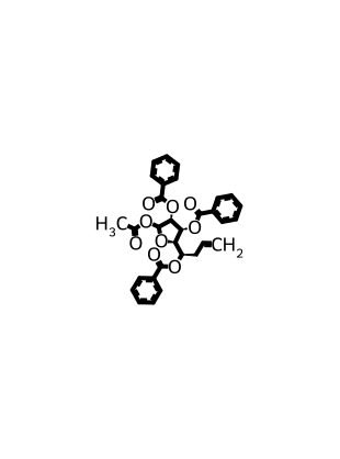 C=CC[C@@H](OC(=O)c1ccccc1)[C@H]1OC(OC(C)=O)[C@H](OC(=O)c2ccccc2)[C@@H]1OC(=O)c1ccccc1